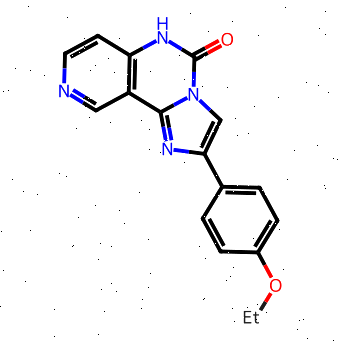 CCOc1ccc(-c2cn3c(=O)[nH]c4ccncc4c3n2)cc1